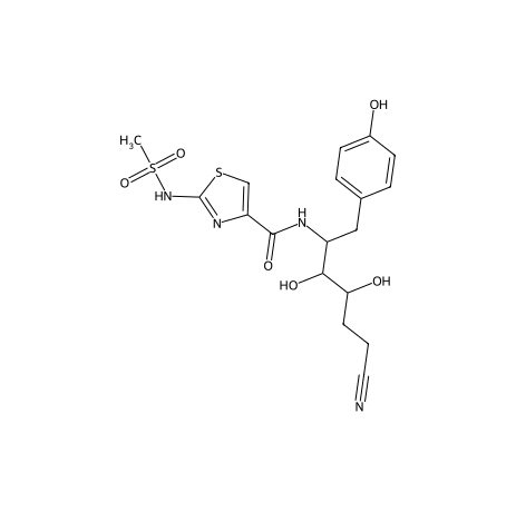 CS(=O)(=O)Nc1nc(C(=O)NC(Cc2ccc(O)cc2)C(O)C(O)CCC#N)cs1